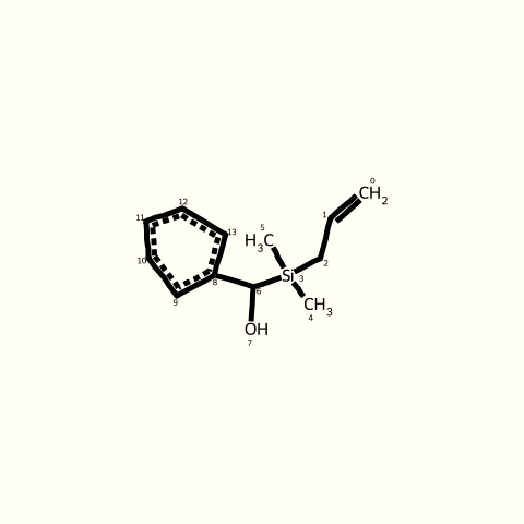 C=CC[Si](C)(C)C(O)c1ccccc1